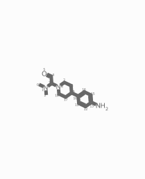 CN(C)C(C=O)N1CCC(c2ccc(N)cc2)CC1